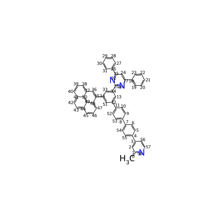 Cc1cc(-c2ccc(-c3ccc(-c4cc(-c5nc(-c6ccccc6)cc(-c6ccccc6)n5)cc(-c5cc6cccc7ccc8cccc5c8c76)c4)cc3)cc2)ccn1